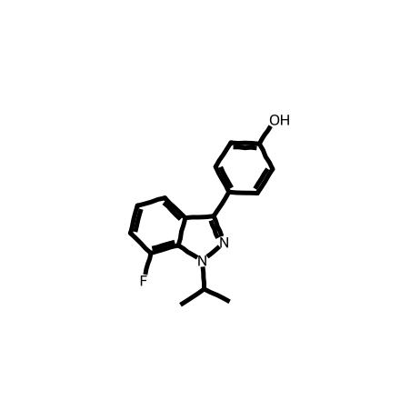 CC(C)n1nc(-c2ccc(O)cc2)c2cccc(F)c21